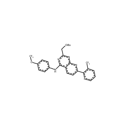 CC(C)COCc1nc(Nc2ccc(OC(F)(F)F)cc2)c2ccc(-c3ncccc3C(F)(F)F)nc2n1